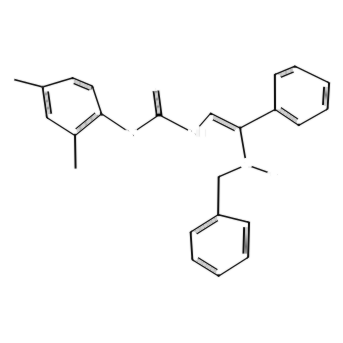 Cc1ccc(NC(=S)NC=C(c2ccccc2)[S+]([O-])Cc2ccccc2)c(C)c1